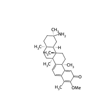 COC1=C(C)C2=CC=C3[C@@](C)(CC[C@@]4(C)[C@@H]5C[C@](C)(N)CC[C@]5(C)CC[C@]34C)C2=CC1=O